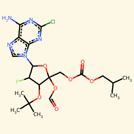 CC(C)COC(=O)OCC1(OC=O)OC(n2cnc3c(N)nc(Cl)nc32)C(F)C1OC(C)(C)C